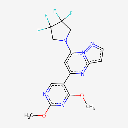 COc1ncc(-c2cc(N3CC(F)(F)C(F)(F)C3)n3nccc3n2)c(OC)n1